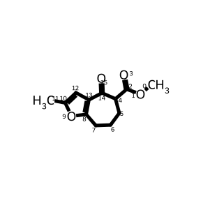 COC(=O)C1CCCc2oc(C)cc2C1=O